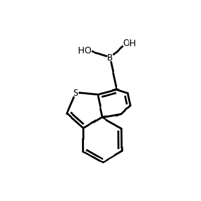 OB(O)C1=C2SC=C3C=CC=CC32CC=C1